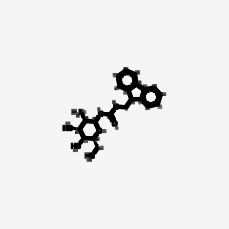 N[C@H]1C(OC(=O)OCC2c3ccccc3-c3ccccc32)O[C@H](CO)[C@@H](O)[C@@H]1O